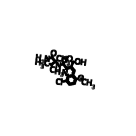 COc1ccc(Cl)c2nc(C(=O)NC(C)(C(N)=O)C(C)C)c(C(=O)O)cc12